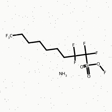 N.O=S(=O)(OF)C(F)(F)C(F)(F)CCCCCCC(F)(F)F